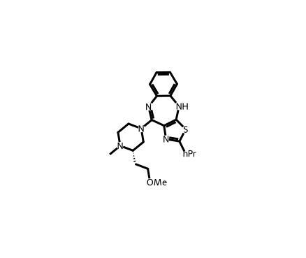 CCCc1nc2c(s1)Nc1ccccc1N=C2N1CCN(C)[C@@H](CCOC)C1